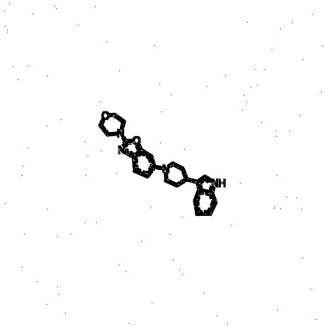 c1ccc2c(C3CCN(c4ccc5nc(N6CCOCC6)oc5c4)CC3)c[nH]c2c1